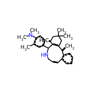 C=C1CC(C)(C)CC2=C1C(c1ccc(N(C)C)c(C)c1)NC/C=C\c1ccccc1C2=C